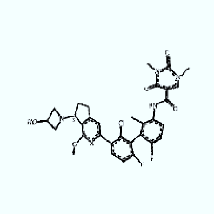 COc1nc(-c2ccc(F)c(-c3c(F)ccc(NC(=O)c4cn(C)c(=O)n(C)c4=O)c3C)c2Cl)cc2c1[C@@H](N1CC(O)C1)CC2